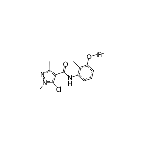 Cc1nn(C)c(Cl)c1C(=O)Nc1cccc(OC(C)C)c1C